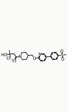 CC(O)(CC(=O)N1CCC(COc2ccc(-c3ccc(S(C)(=O)=O)cc3)cn2)CC1)C(F)(F)F